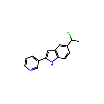 CC(Cl)c1ccc2[nH]c(-c3cccnc3)cc2c1